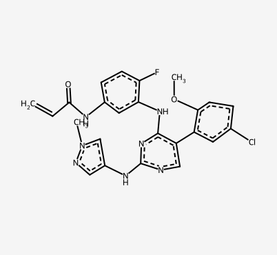 C=CC(=O)Nc1ccc(F)c(Nc2nc(Nc3cnn(C)c3)ncc2-c2cc(Cl)ccc2OC)c1